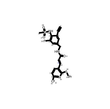 C#Cc1cc(CNC(=O)/C=C/c2ccc(C(F)(F)F)nc2SC(C)C)cc(F)c1NS(C)(=O)=O